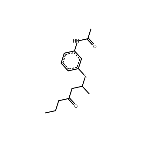 CCCC(=O)CC(C)Sc1cccc(NC(C)=O)c1